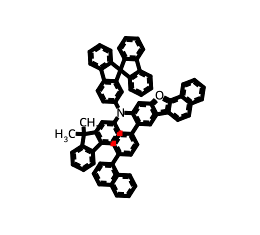 CC1(C)c2ccccc2-c2ccc(N(c3ccc4c(c3)C3(c5ccccc5-c5ccccc53)c3ccccc3-4)c3cc4oc5c6ccccc6ccc5c4cc3-c3ccc(-c4cccc5ccccc45)cc3)cc21